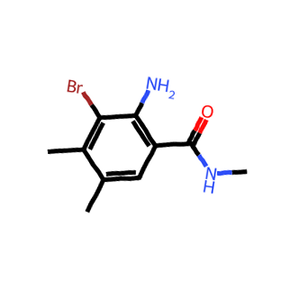 CNC(=O)c1cc(C)c(C)c(Br)c1N